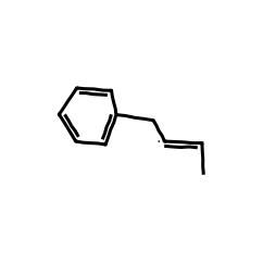 CC=[C]Cc1ccccc1